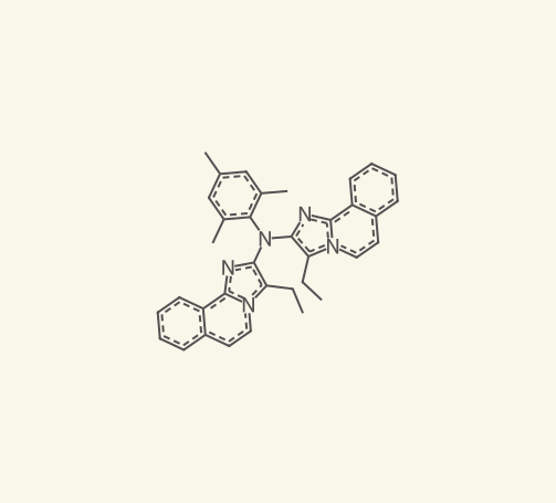 CCc1c(N(c2nc3c4ccccc4ccn3c2CC)c2c(C)cc(C)cc2C)nc2c3ccccc3ccn12